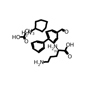 CC(=O)O.NC1CCCCC1.NCCC[C@H](N)C(=O)O.O=Cc1ccc(-c2ccccc2)cc1